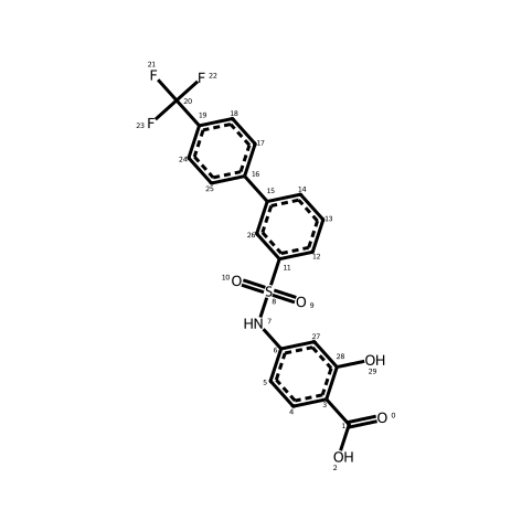 O=C(O)c1ccc(NS(=O)(=O)c2cccc(-c3ccc(C(F)(F)F)cc3)c2)cc1O